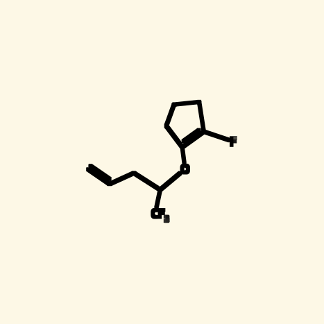 C=CCC(OC1=C(F)CCC1)C(F)(F)F